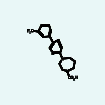 O=C(O)N1CCCN(c2ccc(-c3cccc(C(F)(F)F)c3)cn2)CC1